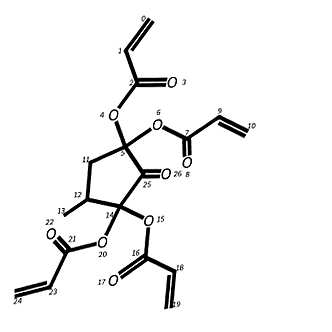 C=CC(=O)OC1(OC(=O)C=C)CC(C)C(OC(=O)C=C)(OC(=O)C=C)C1=O